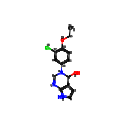 OC1c2cc[nH]c2N=CN1c1ccc(OCC(F)(F)F)c(Cl)c1